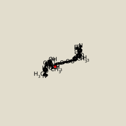 Cc1ncsc1-c1ccc(CNC(=O)[C@@H]2C[C@@H](O)CN2C(=O)[C@@H](NC(=O)COCCOCCCOCCOc2ccc(N3C(=S)N(c4ccc(C#N)c(C(F)(F)F)c4)C(=O)C3(C)C)cc2)C(C)(C)C)cc1